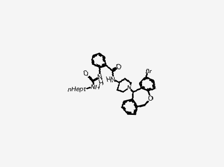 CCCCCCCNC(=O)Nc1ccccc1C(=O)NC1CCN(C2c3ccccc3COc3ccc(Br)cc32)CC1